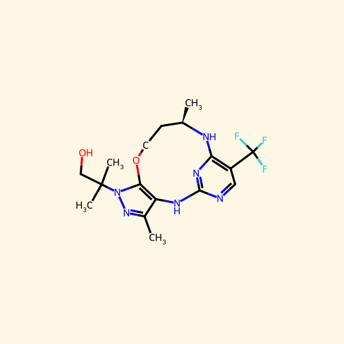 Cc1nn(C(C)(C)CO)c2c1Nc1ncc(C(F)(F)F)c(n1)N[C@H](C)CCO2